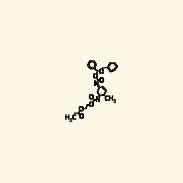 C=CC(=O)OCCOC(=O)N=C1CC(=NC(=O)OC(OCc2ccccc2)c2ccccc2)C=CC1C